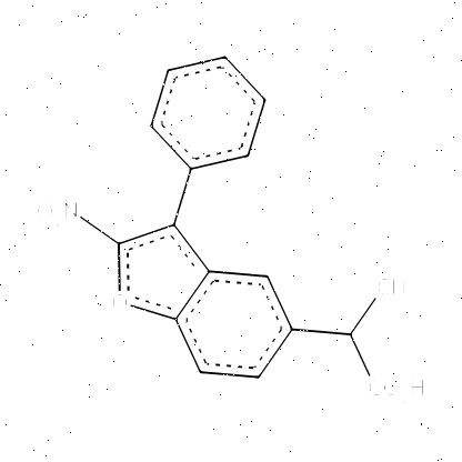 CC(C(=O)O)c1ccc2oc([N+](=O)[O-])c(-c3ccccc3)c2c1